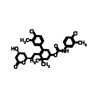 Cc1cc(NC(=O)OC2CC(c3ccc(Cl)c(C)c3)=C(CC[C@@H]3C[C@@H](O)CC(=O)O3)C(C)(C)C2)ccc1Cl